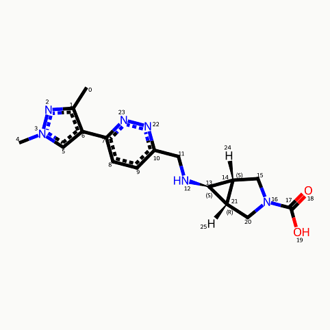 Cc1nn(C)cc1-c1ccc(CN[C@H]2[C@@H]3CN(C(=O)O)C[C@@H]32)nn1